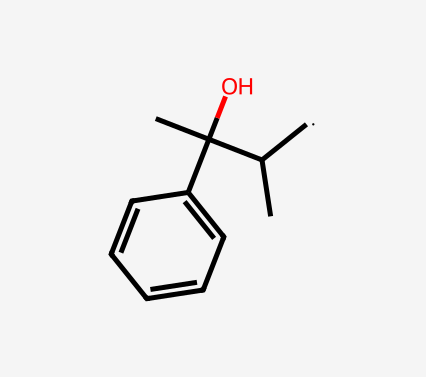 [CH2]C(C)C(C)(O)c1ccccc1